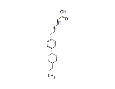 CCC[C@H]1CC[C@H](c2ccc(C/C=C/C=C/C(=O)O)cc2)CC1